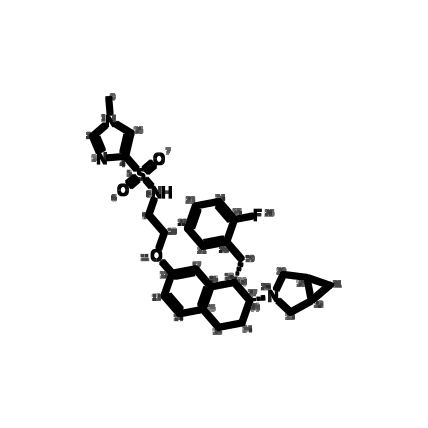 Cn1cnc(S(=O)(=O)NCCOc2ccc3c(c2)[C@H](Cc2ccccc2F)[C@H](N2CC4CC4C2)CC3)c1